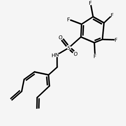 C=C/C=C\C(=C/C=C)CNS(=O)(=O)c1c(F)c(F)c(F)c(F)c1F